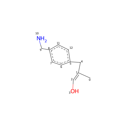 CC(=CO)Cc1ccc(CN)cc1